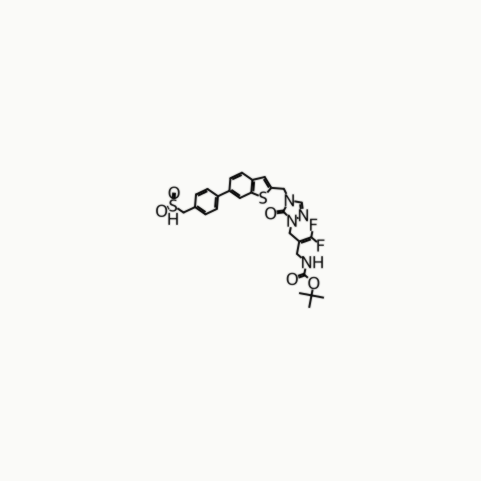 CC(C)(C)OC(=O)NCC(Cn1ncn(Cc2cc3ccc(-c4ccc(C[SH](=O)=O)cc4)cc3s2)c1=O)=C(F)F